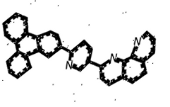 c1cnc2c(c1)ccc1ccc(-c3ccc(-c4ccc5c6ccccc6c6ccccc6c5c4)nc3)nc12